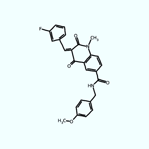 COc1ccc(CNC(=O)c2ccc3c(c2)C(=O)/C(=C/c2cccc(F)c2)C(=O)N3C)cc1